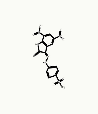 NS(=O)(=O)c1ccc(NN=C2C(=O)Nc3c2cc([N+](=O)[O-])cc3[N+](=O)[O-])cc1